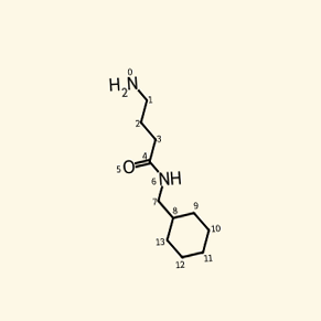 NCCCC(=O)NCC1CCCCC1